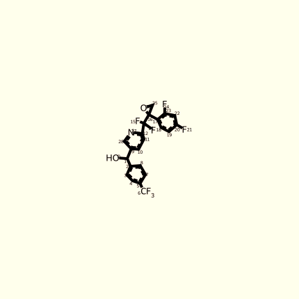 OC(c1ccc(C(F)(F)F)cc1)c1ccc(C(F)(F)C2(c3ccc(F)cc3F)CO2)nc1